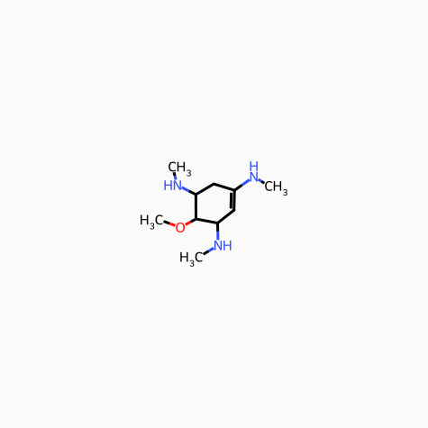 CNC1=CC(NC)C(OC)C(NC)C1